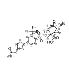 CNC(=O)Cn1cc(-c2ccc(S(=O)(=O)[C@@H]3C[C@H](OC)[C@@](C(=O)O)(C4CC4(C#N)C(N)=O)C3)c(C(F)(F)F)c2)cn1